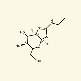 CCNC1=N[C@@H]2C(O)[C@H](O)C(CO)O[C@@H]2S1